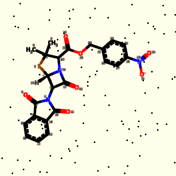 CC1(C)S[C@H]2C(N3C(=O)c4ccccc4C3=O)C(=O)N2C1C(=O)OCc1ccc([N+](=O)[O-])cc1